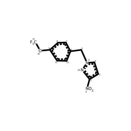 O=[N+]([O-])c1ccn(Cc2ccc(OC(F)(F)F)cc2)n1